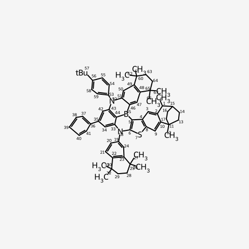 CC1c2cc3c4c(sc3cc2C2(C)CCC1CC2)N(c1ccc2c(c1)C(C)(C)CCC2(C)C)c1cc(-c2ccccc2)cc2c1B4c1cc3c(cc1N2c1ccc(C(C)(C)C)cc1)C(C)(C)CCC3(C)C